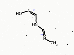 C/N=C/N/C=N\O